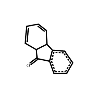 O=C1c2ccccc2C2C=CC=CC12